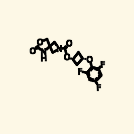 O=C1NC2(CO1)CN(C(=O)O[C@H]1C[C@@H](Oc3c(F)cc(F)cc3F)C1)C2